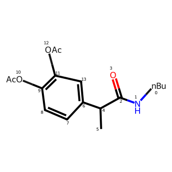 CCCCNC(=O)C(C)c1ccc(OC(C)=O)c(OC(C)=O)c1